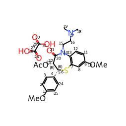 COc1ccc([C@H]2Sc3cc(OC)ccc3N(CCN(C)C)C(=O)[C@H]2OC(C)=O)cc1.O=C(O)C(=O)O